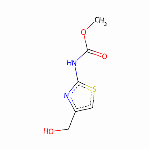 COC(=O)Nc1nc(CO)cs1